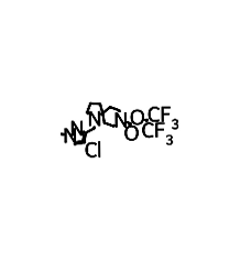 Cn1cc(Cl)c(CN2CCCC23CCN(C(=O)OC(C(F)(F)F)C(F)(F)F)CC3)n1